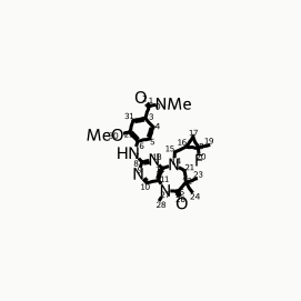 CNC(=O)c1ccc(Nc2ncc3c(n2)N(CC2CC2(C)F)CC(C)(C)C(=O)N3C)c(OC)c1